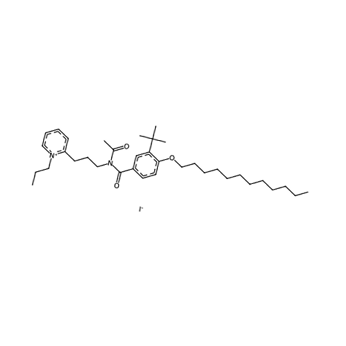 CCCCCCCCCCCCOc1ccc(C(=O)N(CCCc2cccc[n+]2CCC)C(C)=O)cc1C(C)(C)C.[I-]